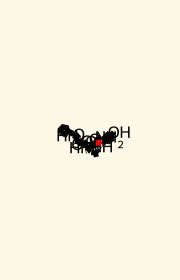 CC(C)C[C@H](NC(=O)C1O[C@H]1C(=O)NCc1ccccc1)C(=O)N[C@@H](Cc1ccc(O)cc1)C(N)=O